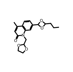 CCCC1OC(c2ccc3c(C)cc(=O)n(CC4OCCO4)c3c2)O1